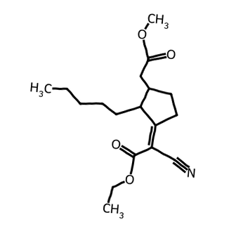 CCCCCC1/C(=C(/C#N)C(=O)OCC)CCC1CC(=O)OC